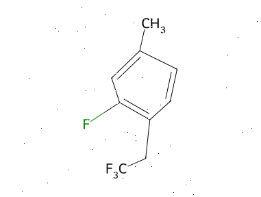 Cc1ccc(CC(F)(F)F)c(F)c1